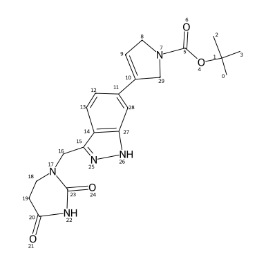 CC(C)(C)OC(=O)N1CC=C(c2ccc3c(CN4CCC(=O)NC4=O)n[nH]c3c2)C1